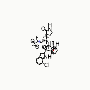 CS(=O)(=O)/C(F)=C/[C@@H](C[C@H]1CCNC1=O)NC(=O)[C@@H]1[C@@H]2CC[C@@H](CC2(F)F)N1C(=O)c1cc2cccc(Cl)c2[nH]1